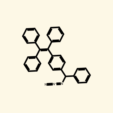 [N-]=[N+]=NC(c1ccccc1)c1ccc(C(=C(c2ccccc2)c2ccccc2)c2ccccc2)cc1